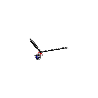 C=C=C=C=C=C=C=C=C=C=C=C=C(C#CC#CC#CC#CC#CC#CC#CC#CC#CC)C(=O)OC1CC(C)(C)N(C)C(C)(C)C1